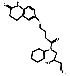 CCC(O)CN(C(=O)CCCOc1ccc2c(c1)CCC(=O)N2)C1CCCCC1